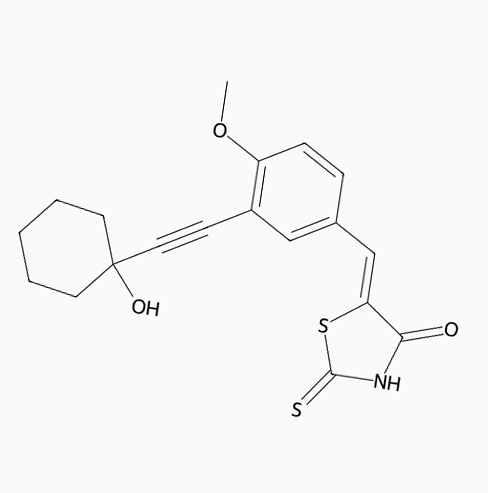 COc1ccc(/C=C2\SC(=S)NC2=O)cc1C#CC1(O)CCCCC1